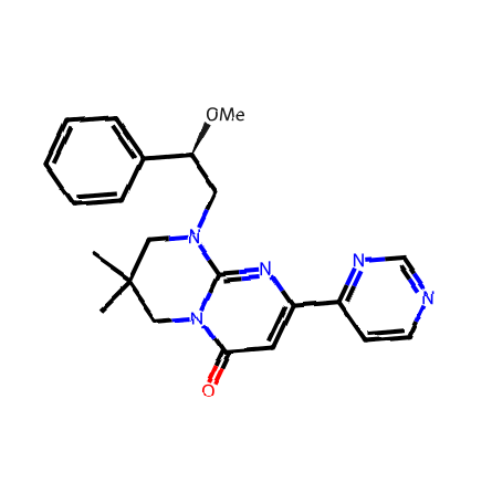 CO[C@@H](CN1CC(C)(C)Cn2c1nc(-c1ccncn1)cc2=O)c1ccccc1